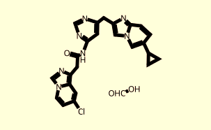 O=C(Cc1ncn2ccc(Cl)cc12)Nc1cc(Cc2cn3cc(C4CC4)ccc3n2)ncn1.O=CO